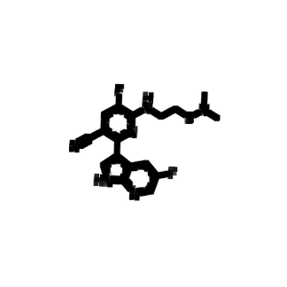 CN(C)SCCNc1nc(-c2c[nH]c3ncc(F)cc23)c(C#N)cc1F